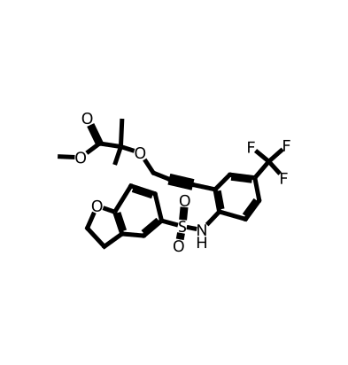 COC(=O)C(C)(C)OCC#Cc1cc(C(F)(F)F)ccc1NS(=O)(=O)c1ccc2c(c1)CCO2